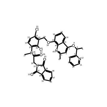 Cc1cc(OC(C)c2ccccn2)c2cccc(OCc3c(Cl)ccc(N(C)C(=O)CN4C(=O)c5ccccc5C4=O)c3Cl)c2n1